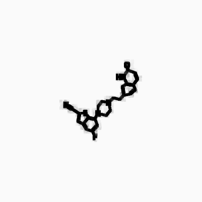 N#Cc1cc2cc(F)cc(N3CCN(CCc4ccc5ccc(=O)[nH]c5c4)CC3)c2s1